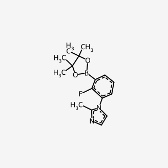 Cc1nccn1-c1cccc(B2OC(C)(C)C(C)(C)O2)c1F